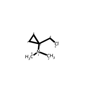 CN(C)C1(CCl)CC1